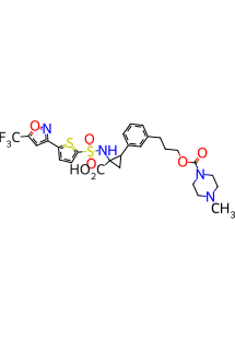 CN1CCN(C(=O)OCCCc2cccc(C3CC3(NS(=O)(=O)c3ccc(-c4cc(C(F)(F)F)on4)s3)C(=O)O)c2)CC1